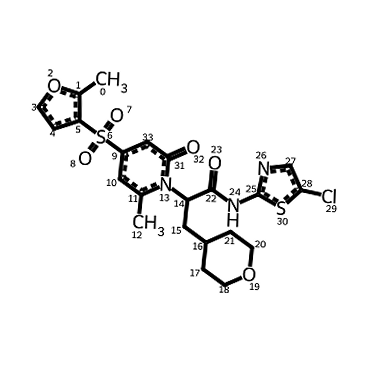 Cc1occc1S(=O)(=O)c1cc(C)n(C(CC2CCOCC2)C(=O)Nc2ncc(Cl)s2)c(=O)c1